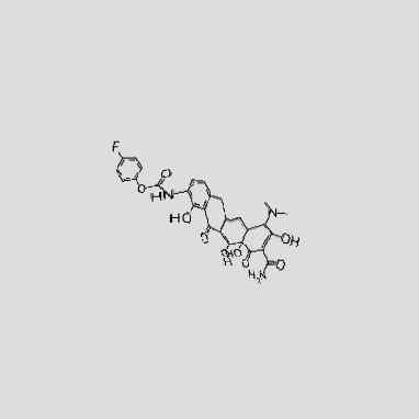 CN(C)C1C(O)=C(C(N)=O)C(=O)C2(O)C(O)=C3C(=O)c4c(ccc(NC(=O)Oc5ccc(F)cc5)c4O)CC3CC12